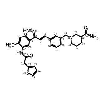 Cc1cc2[nH]nc(C=Cc3cccc(CN4CCCC(C(N)=O)C4)c3)c2cc1NC(=O)Cc1cccs1